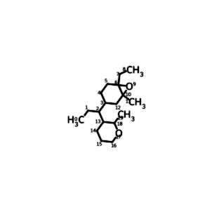 CCC(C1CCC2(CC)OC2(C)C1)C1CCCOC1C